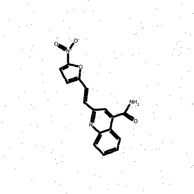 NC(=O)c1cc(C=Cc2ccc([N+](=O)[O-])o2)nc2ccccc12